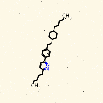 CCCCCc1ccc(-c2ccc(CC[C@H]3CC[C@H](CCCCC)CC3)cc2)nn1